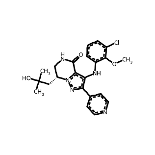 COc1c(Cl)cccc1Nc1c(-c2ccncc2)nn2c1C(=O)NC[C@H]2CC(C)(C)O